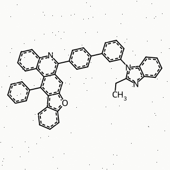 CCc1nc2ccccc2n1-c1cccc(-c2ccc(-c3nc4ccccc4c4c(-c5ccccc5)c5c(cc34)oc3ccccc35)cc2)c1